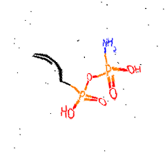 C=CCP(=O)(O)OP(N)(=O)O